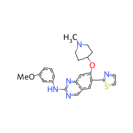 COc1cccc(Nc2ncc3cc(-c4nccs4)c(OC4CCN(C)CC4)cc3n2)c1